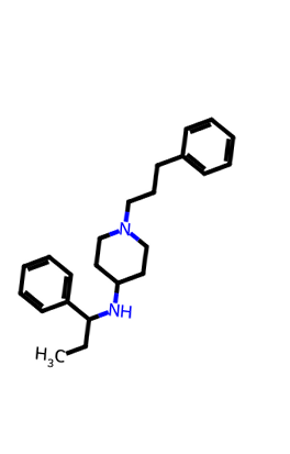 CCC(NC1CCN(CCCc2ccccc2)CC1)c1ccccc1